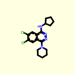 Clc1cc2c(NC3CCCC3)nnc(N3CCCCC3)c2cc1Cl